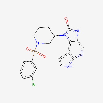 O=c1[nH]c2cnc3[nH]ccc3c2n1[C@@H]1CCCN(S(=O)(=O)c2cccc(Br)c2)C1